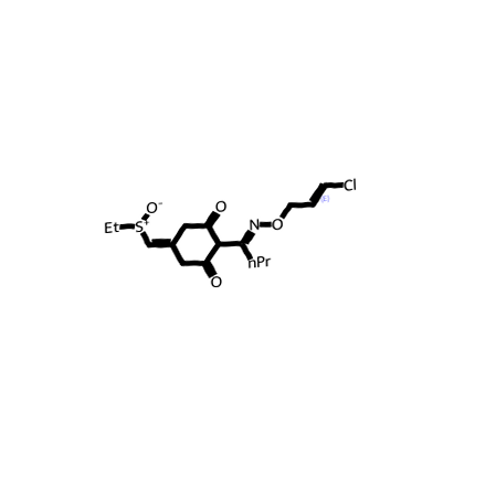 CCCC(=NOC/C=C/Cl)C1C(=O)CC(=C[S+]([O-])CC)CC1=O